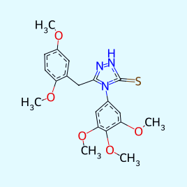 COc1ccc(OC)c(Cc2n[nH]c(=S)n2-c2cc(OC)c(OC)c(OC)c2)c1